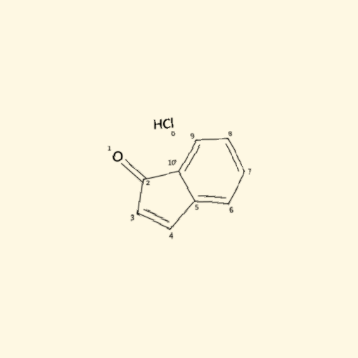 Cl.O=C1C=Cc2ccccc21